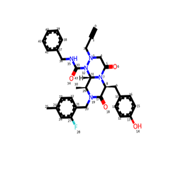 C#CCN1CC(=O)N2[C@@H](Cc3ccc(O)cc3)C(=O)N(Cc3ccc(C)cc3F)[C@@H](C)[C@@H]2N1C(=O)NCc1ccccc1